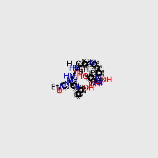 CCC(=O)N1CCN(c2nc(NCCC(=O)NC(C)(C)c3ccc(CN4CCC(Cc5ccc(-n6c(O)nnc6-c6cc(C(C)C)c(O)cc6O)cc5)CC4)cc3)nc3c2CCN(c2cc(O)cc4ccccc24)C3)CC1